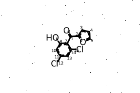 O=C(c1ccco1)c1c(O)cc(Cl)cc1Cl